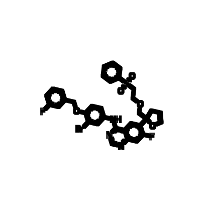 O=S(=O)(CCOCC1(c2cc3c(Nc4ccc(OCc5cccc(F)c5)c(Br)c4)ncnc3cc2F)CC=CO1)c1ccccc1